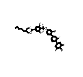 C=CCCCC1COC(c2cc(F)c(C(F)(F)Oc3ccc(-c4ccc(-c5cc(F)c(F)c(F)c5)c(F)c4)c(F)c3)c(F)c2)OC1